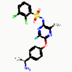 COc1nc(Oc2ccc([C@H](C)N)cc2)c(F)nc1NS(=O)(=O)c1cccc(Cl)c1Cl